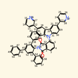 O=C1c2cccc(-n3c4ccc(-c5cccnc5)cc4c4cc(-c5cccnc5)ccc43)c2C(=O)N1c1c(-c2ccccc2)cc(-c2ccccc2)cc1-c1ccccc1